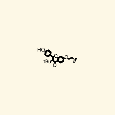 CN(C)CCOc1ccc2c(=O)c(C(C)(C)C)c(-c3ccc(O)cc3)oc2c1